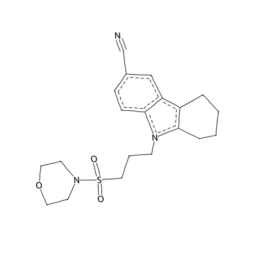 N#Cc1ccc2c(c1)c1c(n2CCCS(=O)(=O)N2CCOCC2)CCCC1